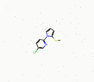 CSc1cccn1-c1ccc(Cl)cn1